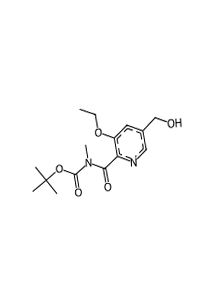 CCOc1cc(CO)cnc1C(=O)N(C)C(=O)OC(C)(C)C